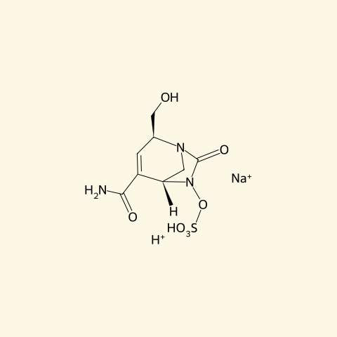 NC(=O)C1=C[C@@H](CO)N2C[C@@H]1N(OS(=O)(=O)O)C2=O.[H+].[Na+]